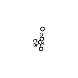 Clc1c(Br)c(-c2ccccc2)nc2ccc(OCc3ccccc3)cc12